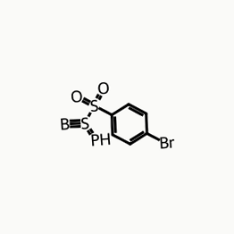 B#S(=P)S(=O)(=O)c1ccc(Br)cc1